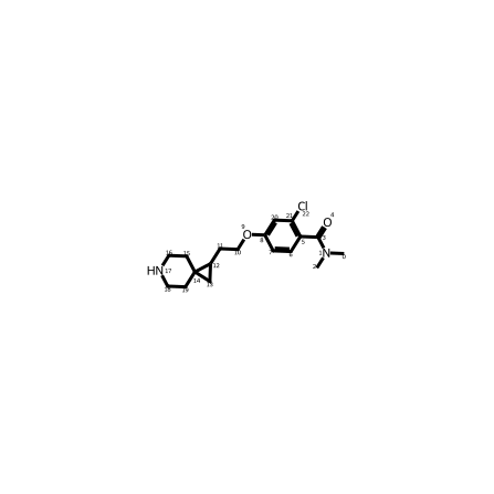 CN(C)C(=O)c1ccc(OCCC2CC23CCNCC3)cc1Cl